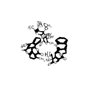 CC[C@@]1(O)C(=O)OCc2c1cc1n(c2=O)Cc2cc3ccccc3nc2-1.CO[C@@H]1[C@@H](N)[C@@H](O[C@H]2[C@H](Oc3cccc4c(O)c5c(=O)oc6ccc(C)c7c(=O)oc(c34)c5c67)O[C@H](C)[C@H](O)[C@]2(C)O)O[C@H](C)[C@@H]1O